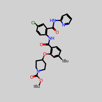 CC(C)(C)OC(=O)N1CCC(Oc2cc(C(C)(C)C)ccc2C(=O)Nc2ccc(Cl)cc2C(=O)Nc2ccccn2)CC1